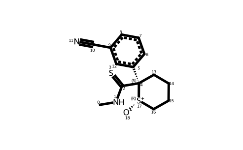 CNC(=S)[C@@]1(c2cccc(C#N)c2)CCCC[S@+]1[O-]